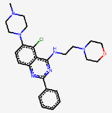 CN1CCN(c2ccc3nc(-c4ccccc4)nc(NCCN4CCOCC4)c3c2Cl)CC1